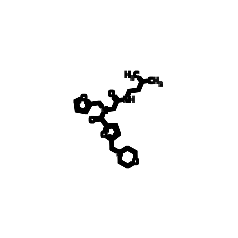 CC(C)CCNC(=O)CN(Cc1ccco1)C(=O)c1ccc(CN2CCOCC2)o1